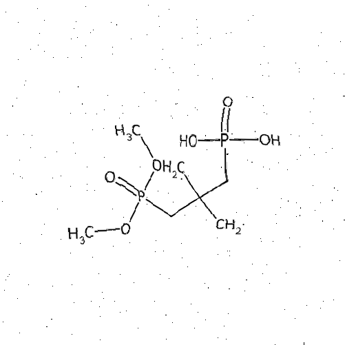 [CH2]C([CH2])(CP(=O)(O)O)CP(=O)(OC)OC